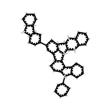 c1ccc(-n2c3ccccc3c3c2ccc2c4cc(-c5ccc6sc7ccccc7c6c5)cc5c6nc7ccccc7nc6n(c45)c23)cc1